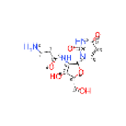 NCCC(=O)N[C@@H]1[C@H](O)[C@@H](CO)O[C@H]1n1ccc(=O)[nH]c1=O